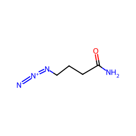 [N-]=[N+]=NCCCC(N)=O